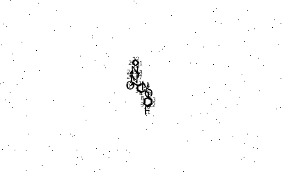 O=C(c1ccc(Oc2ccc(F)cc2)nc1)N1CCN(C2CCC2)CC1